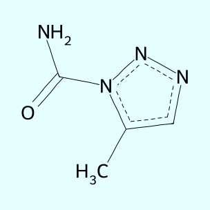 Cc1cnnn1C(N)=O